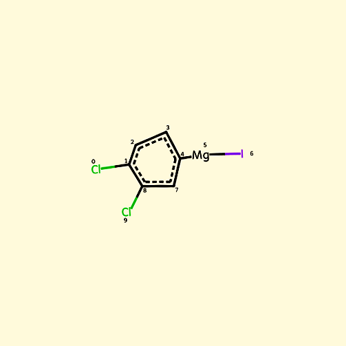 Clc1cc[c]([Mg][I])cc1Cl